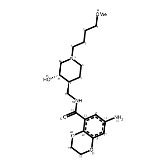 COCCCCN1CC[C@@H](CNC(=O)c2cc(N)cc3c2OCCO3)[C@H](O)C1